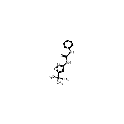 CC(C)(C)c1cc(NC(=O)Nc2cc[c]cc2)no1